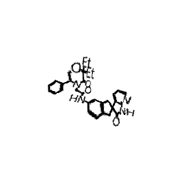 CCC1(CC)OCC(c2ccccc2)N(CC(=O)Nc2ccc3c(c2)CC2(C3)C(=O)Nc3ncccc32)C1=O